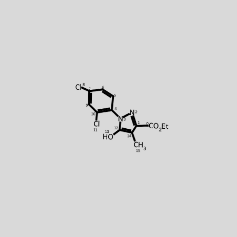 CCOC(=O)c1nn(-c2ccc(Cl)cc2Cl)c(O)c1C